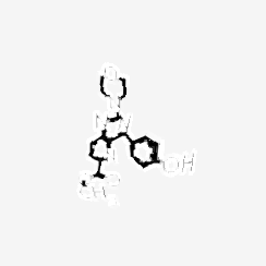 COC(=O)c1ccc2nc(N3CCOCC3)nc(-c3ccc(O)cc3)c2n1